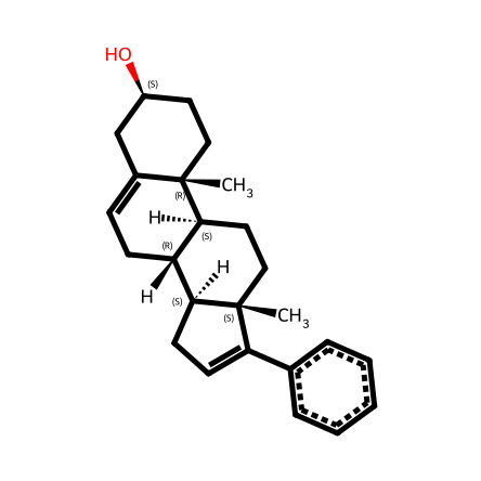 C[C@]12CC[C@H](O)CC1=CC[C@@H]1[C@@H]2CC[C@]2(C)C(c3ccccc3)=CC[C@@H]12